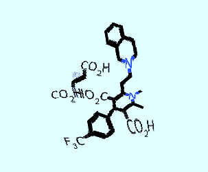 CC1=C(C(=O)O)C(c2ccc(C(F)(F)F)cc2)C(C(=O)O)=C(CCN2CCc3ccccc3C2)N1C.O=C(O)/C=C/C(=O)O